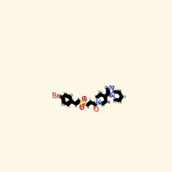 O=C(CCS(=O)(=O)/C=C/c1ccc(Br)cc1)N1CCC(c2cnc3n2CCCC3)CC1